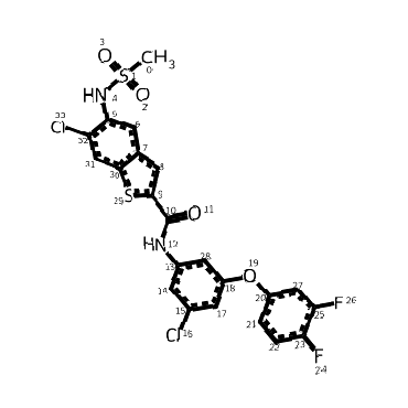 CS(=O)(=O)Nc1cc2cc(C(=O)Nc3cc(Cl)cc(Oc4ccc(F)c(F)c4)c3)sc2cc1Cl